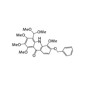 COc1c(OC)c(OC)c2c(=O)c3ccc(OCc4ccccc4)c(OC)c3[nH]c2c1C(OC)OC